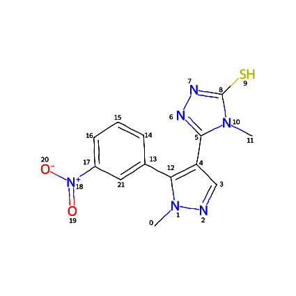 Cn1ncc(-c2nnc(S)n2C)c1-c1cccc([N+](=O)[O-])c1